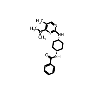 Cc1cnc(N[C@H]2CC[C@@H](NC(=O)c3ccccc3)CC2)nc1N(C)C